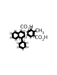 Cc1c(C(=O)O)cccc1C(=O)O.c1ccc(-c2cccc3ccccc23)cc1